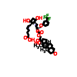 C[C@]12CCC(=O)C=C1CC[C@@H]1C2=CC[C@@]2(C)[C@H]1CC[C@]2(O)C(=O)COC(=O)O[C@H](/C=C/[C@@H]1[C@@H](C/C=C\CCCC(=O)O)[C@@H](O)C[C@H]1O)COc1cccc(C(F)(F)F)c1